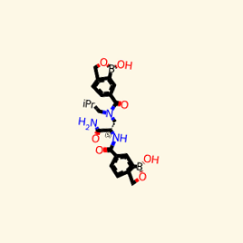 CC(C)CN(C[C@H](NC(=O)c1ccc2c(c1)B(O)OC2)C(N)=O)C(=O)c1ccc2c(c1)B(O)OC2